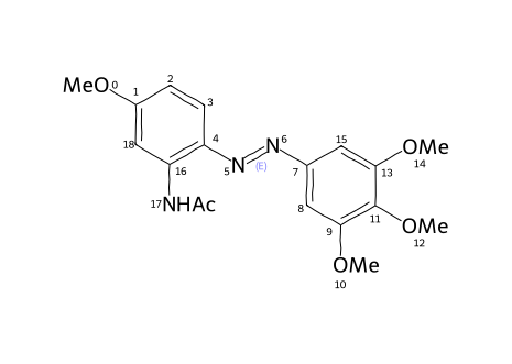 COc1ccc(/N=N/c2cc(OC)c(OC)c(OC)c2)c(NC(C)=O)c1